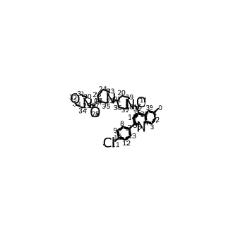 Cc1ccc2nc(-c3ccc(Cl)cc3)cc(C(=O)N3CCC(N4CCC[C@@H](C(=O)N5CCOCC5)C4)CC3)c2c1